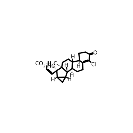 C[C@]12CC[C@H]3[C@@H](CCC4=C(Cl)C(=O)CC[C@@H]43)[C@@H]1[C@@H]1C[C@@H]1[C@@]2(O)/C=C\C(=O)O